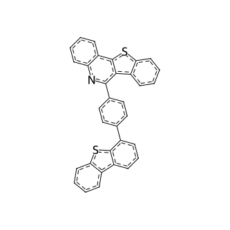 c1ccc2c(c1)nc(-c1ccc(-c3cccc4c3sc3ccccc34)cc1)c1c3ccccc3sc21